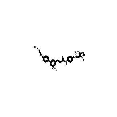 CCCCOCCOc1ccc(-c2cc(C)cc(/C=C/C(=O)Nc3ccc([S@+]([O-])Cc4c(C)ncn4CC)cc3)c2)cc1